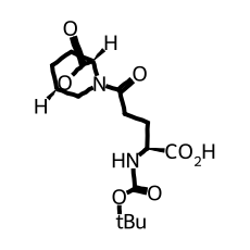 CC(C)(C)OC(=O)N[C@@H](CCC(=O)N1C[C@@H]2CC[C@H]1C(=O)O2)C(=O)O